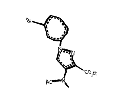 CCOC(=O)c1nn(-c2cccc(Br)c2)cc1N(C)C(C)=O